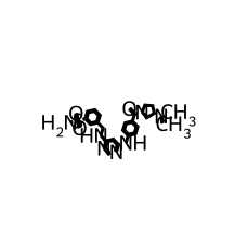 CN(C)[C@H]1CCN(C(=O)c2ccc(Nc3cc(NCc4cccc(S(N)(=O)=O)c4)ncn3)cc2)C1